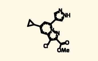 COC(=O)c1nn2c(-c3cn[nH]c3)cc(C3CC3)cc2c1Cl